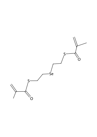 C=C(C)C(=O)SCC[Se]CCSC(=O)C(=C)C